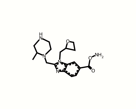 CC1CNCCN1Cc1nc2ccc(C(=O)ON)cc2n1CC1CCO1